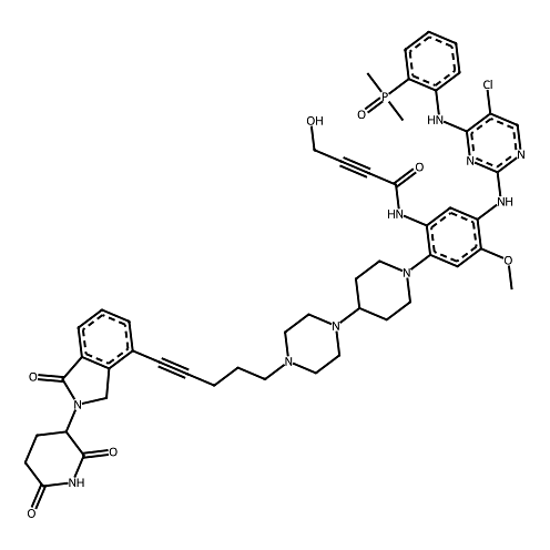 COc1cc(N2CCC(N3CCN(CCCC#Cc4cccc5c4CN(C4CCC(=O)NC4=O)C5=O)CC3)CC2)c(NC(=O)C#CCO)cc1Nc1ncc(Cl)c(Nc2ccccc2P(C)(C)=O)n1